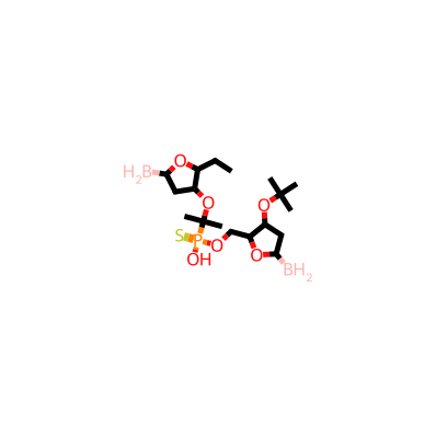 BC1CC(OC(C)(C)C)C(COP(O)(=S)C(C)(C)OC2CC(B)OC2CC)O1